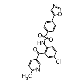 Cc1ccc(C(=O)c2cc(Cl)ccc2NS(=O)(=O)c2ccc(-c3cnco3)cc2)cn1